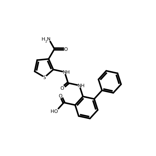 NC(=O)c1ccsc1NC(=O)Nc1c(C(=O)O)cccc1-c1ccccc1